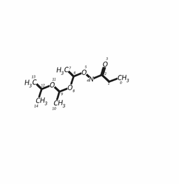 CCC(=O)[N]OC(C)OC(C)OC(C)C